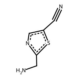 N#Cc1cnc(CN)s1